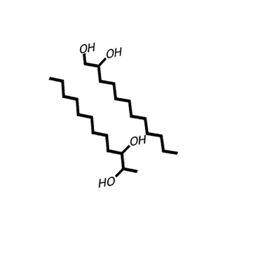 CCCCCCCCCC(O)C(C)O.CCCCCCCCCCC(O)CO